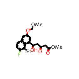 CCc1c(F)ccc2cc(OCOC)cc(C(O)CC(=O)CC(=O)OC)c12